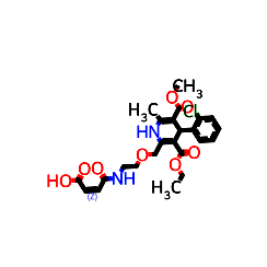 CCOC(=O)C1=C(COCCNC(=O)/C=C\C(=O)O)NC(C)=C(C(=O)OC)C1c1ccccc1Cl